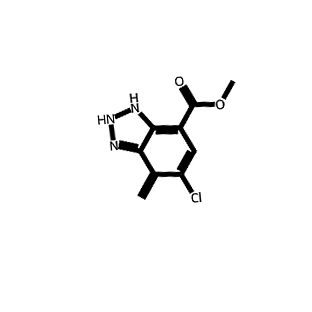 C=c1c(Cl)cc(C(=O)OC)c2c1=NNN2